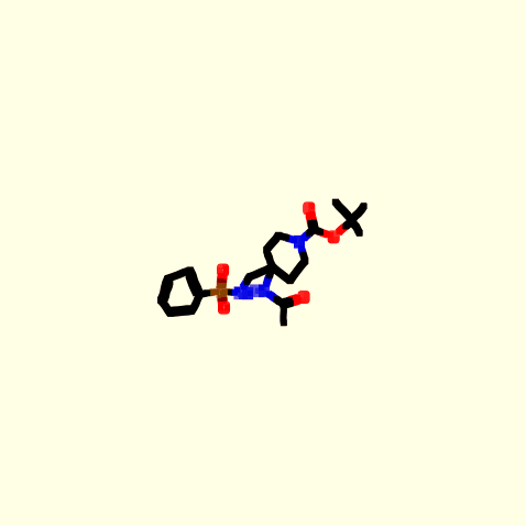 CC(=O)NC1(CNS(=O)(=O)c2ccccc2)CCN(C(=O)OC(C)(C)C)CC1